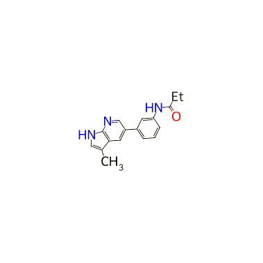 CCC(=O)Nc1cccc(-c2cnc3[nH]cc(C)c3c2)c1